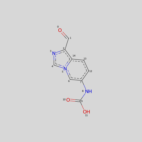 O=Cc1ncn2cc(NC(=O)O)ccc12